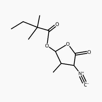 [C-]#[N+]C1C(=O)OC(OC(=O)C(C)(C)CC)C1C